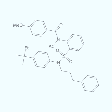 CCC(C)(C)c1ccc(N(CCCc2ccccc2)S(=O)(=O)c2ccccc2N(C(C)=O)C(=O)c2ccc(OC)cc2)cc1